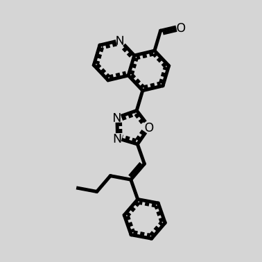 CCC/C(=C\c1nnc(-c2ccc(C=O)c3ncccc23)o1)c1ccccc1